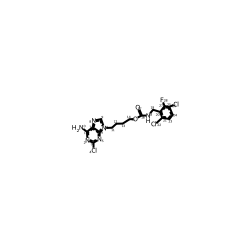 Nc1nc(Cl)nc2c1ncn2CCCCOC(=O)NCc1c(Cl)ccc(Cl)c1F